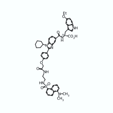 CCOc1ccc2[nH]cc(C[C@H](NC(=O)c3ccc4c(c3)nc(-c3ccc(OCC(=O)NCCNS(=O)(=O)c5cccc6c(N(C)C)cccc56)cc3)n4C3CCCCC3)C(=O)O)c2c1